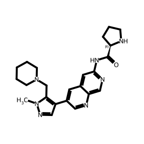 Cn1ncc(-c2cnc3cnc(NC(=O)[C@H]4CCCN4)cc3c2)c1CN1CCCCC1